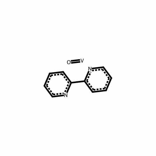 [O]=[V].c1ccc(-c2ccccn2)nc1